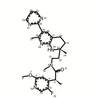 COc1cc([C@H](C)C(=O)N(C)CC[C@@]2(C)CCc3cc(-c4ncccn4)c(C)nc3N2)c(F)cn1